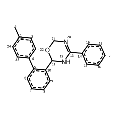 Cc1ccc(-c2ccccc2C2NC(c3ccccc3)=NCO2)cc1